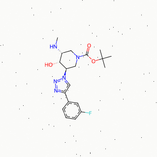 CN[C@@H]1CN(C(=O)OC(C)(C)C)C[C@@H](n2cc(-c3cccc(F)c3)nn2)[C@@H]1O